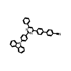 N#Cc1ccc(-c2ccc(-c3cc(-c4ccccc4)nc(-c4ccc(-n5c6ccccc6c6ccccc65)cc4)n3)cc2)cc1